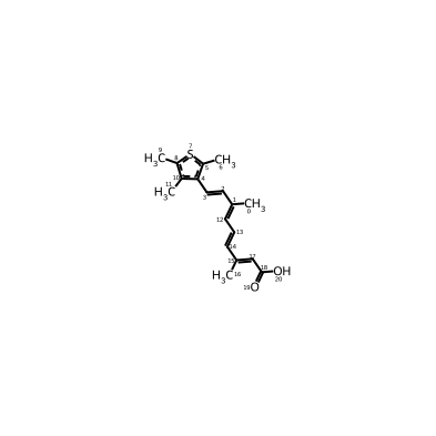 CC(C=Cc1c(C)sc(C)c1C)=CC=CC(C)=CC(=O)O